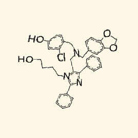 OCCCCn1c(-c2ccccc2)nc(-c2ccccc2)c1CN(Cc1ccc2c(c1)OCO2)Cc1ccc(O)cc1Cl